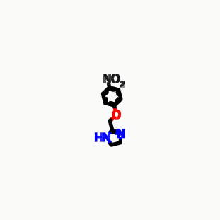 O=[N+]([O-])c1ccc(OCC2=NCCN2)cc1